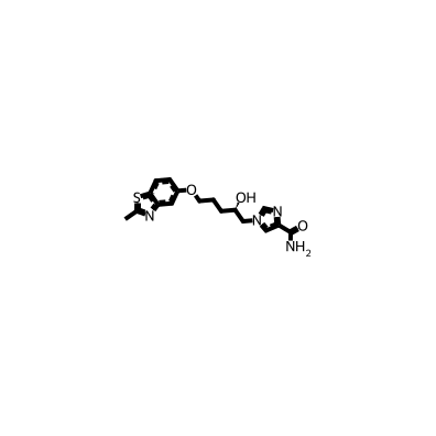 Cc1nc2cc(OCCC[C@H](O)Cn3cnc(C(N)=O)c3)ccc2s1